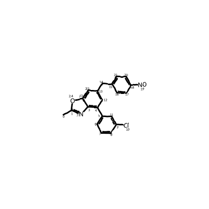 Cc1nc2c(-c3cccc(Cl)c3)cc(Cc3ccc(N=O)cc3)cc2o1